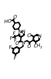 Cc1cncc(Cl)c1C(=O)CN(Cc1cc(F)cc(F)c1)C(=O)c1cnn(C2CCC(C(=O)O)CC2)c1C(F)(F)F